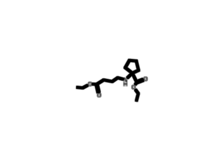 CCOC(=O)CCCNC1(C(=O)OCC)CCCC1